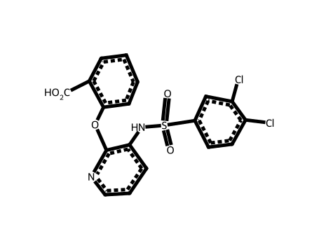 O=C(O)c1ccccc1Oc1ncccc1NS(=O)(=O)c1ccc(Cl)c(Cl)c1